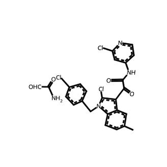 Cc1ccc2c(c1)c(C(=O)C(=O)Nc1ccnc(Cl)c1)c(Cl)n2Cc1ccc(Cl)cc1.NC(=O)C=O